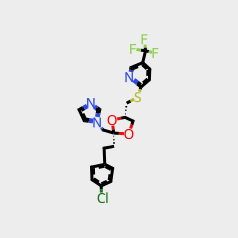 FC(F)(F)c1ccc(SC[C@@H]2CO[C@@](CCc3ccc(Cl)cc3)(Cn3ccnc3)O2)nc1